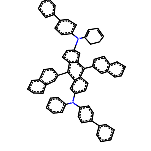 C1=CCCC(N(c2ccc(-c3ccccc3)cc2)c2ccc3c(-c4ccc5ccccc5c4)c4cc(N(c5ccccc5)c5ccc(-c6ccccc6)cc5)ccc4c(-c4ccc5ccccc5c4)c3c2)=C1